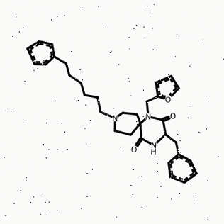 O=C1C(Cc2ccccc2)NC(=O)C2(CCN(CCCCCCc3ccccc3)CC2)N1Cc1ccco1